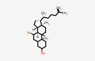 C=C(C)CCC[C@@H](C)[C@H]1CC[C@H]2[C@@H]3C(Br)CC4CC(O)CC[C@]4(C)[C@H]3CC[C@]12C